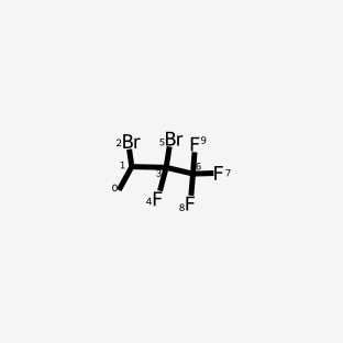 CC(Br)C(F)(Br)C(F)(F)F